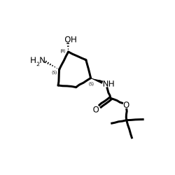 CC(C)(C)OC(=O)N[C@H]1CC[C@H](N)[C@H](O)C1